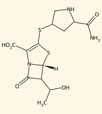 CC(O)C1C(=O)N2C(C(=O)O)=C(SC3CNC(C(N)=O)C3)S[C@H]12